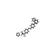 O=C(C[C@@H]1CCCO1)N[C@H]1CC[C@H](CCN2CCN(c3nccc4c3CCO4)CC2)CC1